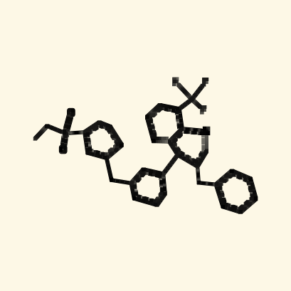 CCS(=O)(=O)c1cccc(Cc2cccc(-c3c(Cc4ccccc4)cnc4c(C(F)(F)F)cccc34)c2)c1